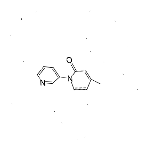 Cc1ccn(-c2cccnc2)c(=O)c1